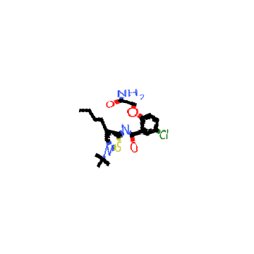 CCCCc1cn(C(C)(C)C)sc1=NC(=O)c1cc(Cl)ccc1OCC(N)=O